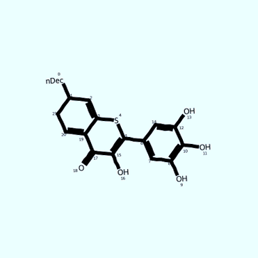 CCCCCCCCCCC1C=c2sc(-c3cc(O)c(O)c(O)c3)c(O)c(=O)c2=CC1